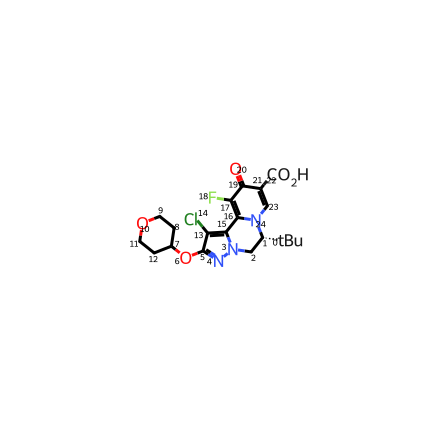 CC(C)(C)[C@@H]1Cn2nc(OC3CCOCC3)c(Cl)c2-c2c(F)c(=O)c(C(=O)O)cn21